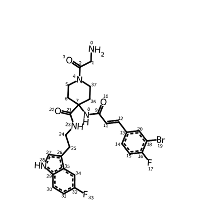 NCC(=O)N1CCC(NC(=O)C=Cc2ccc(F)c(Br)c2)(C(=O)NCCc2c[nH]c3ccc(F)cc23)CC1